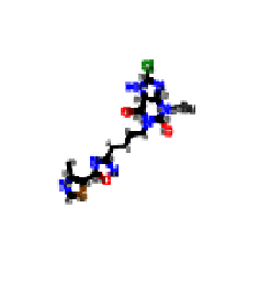 CCCCn1c(=O)n(CCCCc2noc(-c3scnc3C)n2)c(=O)c2[nH]c(Cl)nc21